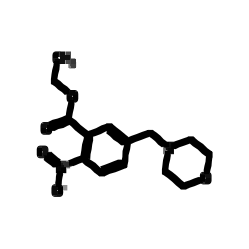 CCOC(=O)c1cc(CN2CCOCC2)ccc1[N+](=O)[O-]